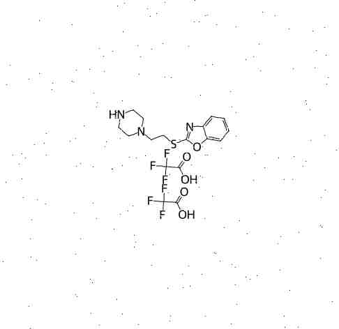 O=C(O)C(F)(F)F.O=C(O)C(F)(F)F.c1ccc2oc(SCCN3CCNCC3)nc2c1